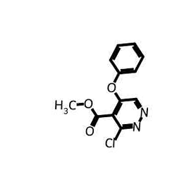 COC(=O)c1c(Oc2ccccc2)cnnc1Cl